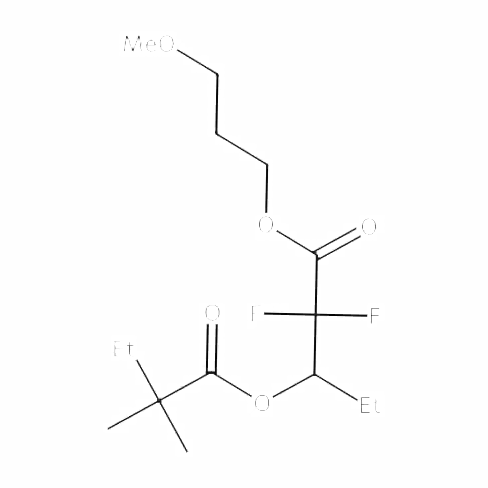 CCC(OC(=O)C(C)(C)CC)C(F)(F)C(=O)OCCCOC